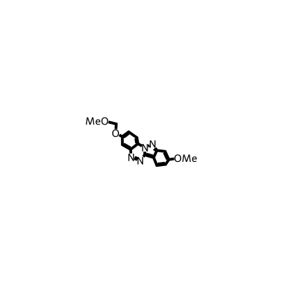 COCOc1ccc2c(c1)nnc1c3ccc(OC)cc3nn21